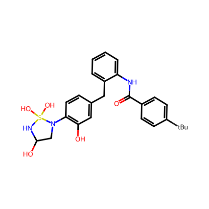 CC(C)(C)c1ccc(C(=O)Nc2ccccc2Cc2ccc(N3CC(O)NS3(O)O)c(O)c2)cc1